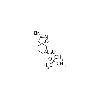 CC(C)(C)OC(=O)N1CCC[C@]2(CC(Br)=NO2)C1